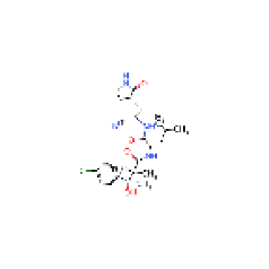 CC(C)C[C@H](NC(=O)C(C)(C)[C@@](C)(O)c1ccc(Cl)cc1)C(=O)N[C@H](C#N)C[C@@H]1CCNC1=O